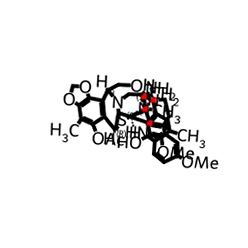 C=C1OC[C@H]2c3c4c(c(C)c(OC(C)=O)c3[C@@H](SC[C@@]13c1[nH]c5ccc(OC)cc5c1CCN3N)C1[C@@H]3c5c(cc(C)c(OC)c5O)C[C@@H](CN12)N3C)OCO4